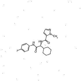 Cn1nccc1C(=O)N[C@H](C(=O)Nc1ccc(I)cc1)C1CCCCC1